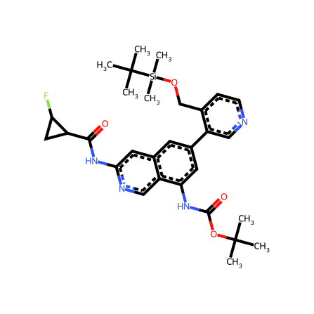 CC(C)(C)OC(=O)Nc1cc(-c2cnccc2CO[Si](C)(C)C(C)(C)C)cc2cc(NC(=O)C3CC3F)ncc12